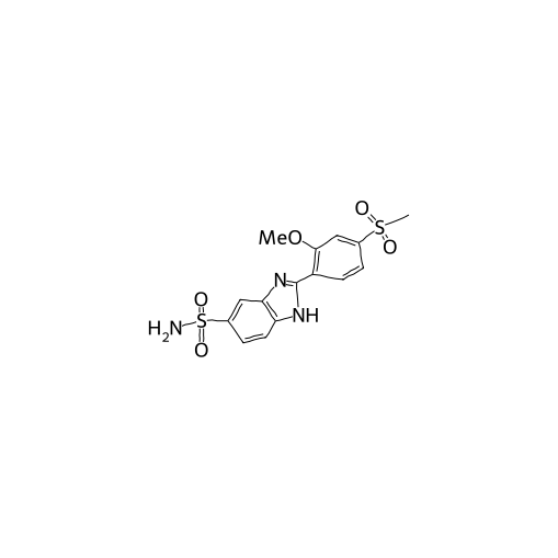 COc1cc(S(C)(=O)=O)ccc1-c1nc2cc(S(N)(=O)=O)ccc2[nH]1